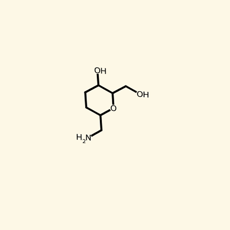 NCC1CCC(O)C(CO)O1